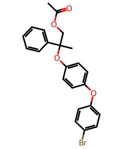 CC(=O)OCC(C)(Oc1ccc(Oc2ccc(Br)cc2)cc1)c1ccccc1